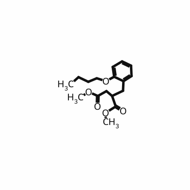 CCCCOc1ccccc1CC(CC(=O)OC)C(=O)OC